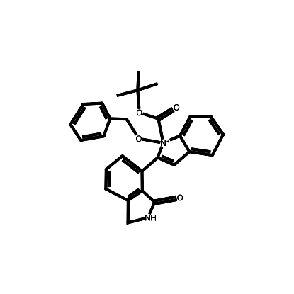 CC(C)(C)OC(=O)[N+]1(OCc2ccccc2)C(c2cccc3c2C(=O)NC3)=Cc2ccccc21